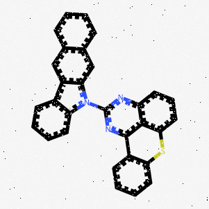 c1ccc2c(c1)Sc1cccc3nc(-n4c5ccccc5c5cc6ccccc6cc54)nc-2c13